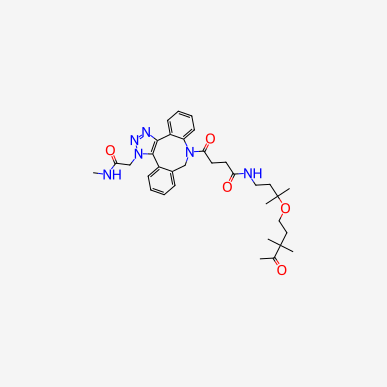 CNC(=O)Cn1nnc2c1-c1ccccc1CN(C(=O)CCC(=O)NCCC(C)(C)OCCC(C)(C)C(C)=O)c1ccccc1-2